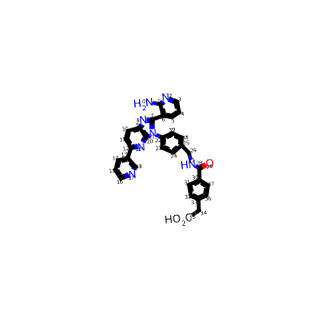 Nc1ncccc1-c1nc2ccc(-c3cccnc3)nc2n1-c1ccc(CNC(=O)c2ccc(CC(=O)O)cc2)cc1